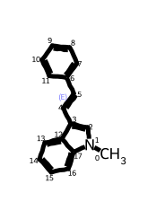 Cn1cc(/C=C/c2ccccc2)c2ccccc21